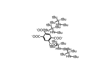 CC(C)(C)N[N+](C(C)(C)C)(C(C)(C)C)C(C)(C)C.CC(C)(C)N[N+](C(C)(C)C)(C(C)(C)C)C(C)(C)C.CC(C)(C)N[N+](C(C)(C)C)(C(C)(C)C)C(C)(C)C.CC(C)(C)N[N+](C(C)(C)C)(C(C)(C)C)C(C)(C)C.O=C([O-])c1cc(C(=O)[O-])c(C(=O)[O-])cc1C(=O)[O-]